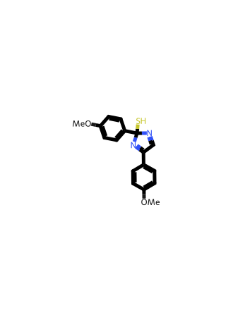 COc1ccc(C2=NC(S)(c3ccc(OC)cc3)N=C2)cc1